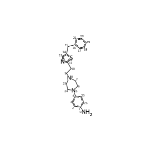 Nc1ccc(N2CCN(CCc3ncc(Cc4ccccc4)s3)CC2)cc1